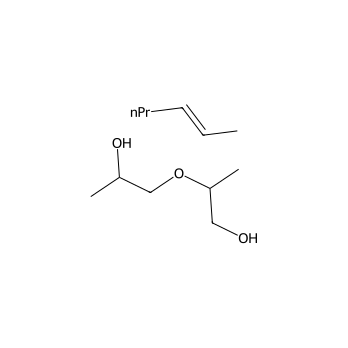 CC(O)COC(C)CO.CC=CCCC